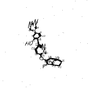 Oc1cc(-n2cnnc2)ccc1-c1ccc(O[C@H]2CC3CCC(N3)[C@H]2F)nn1